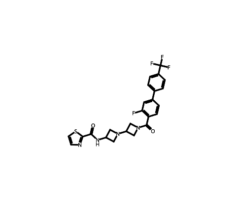 O=C(NC1CN(C2CN(C(=O)c3ccc(-c4ccc(C(F)(F)F)cc4)cc3F)C2)C1)c1nccs1